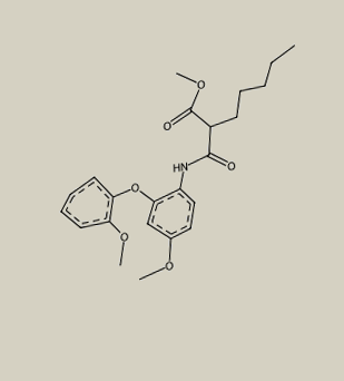 CCCCCC(C(=O)Nc1ccc(OC)cc1Oc1ccccc1OC)C(=O)OC